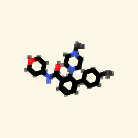 CCCCN1CCN(c2c(C(=O)NC3CCOCC3)cccc2C2CCC(C(C)(C)C)CC2)CC1